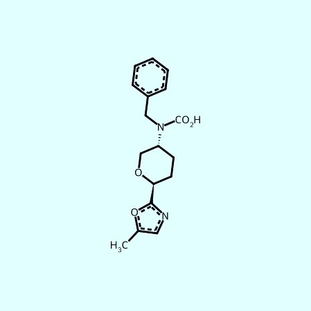 Cc1cnc([C@@H]2CC[C@@H](N(Cc3ccccc3)C(=O)O)CO2)o1